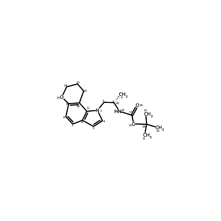 C[C@@H](Cn1ccc2ccc3c(c21)CCCO3)NC(=O)OC(C)(C)C